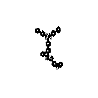 c1ccc(-c2ccc(-c3nc(-c4ccc(-c5ccccc5)cc4)nc(-c4ccc(-c5ccc6c(c5)c5ccccc5c5nc7cc(-c8ccc9oc%10ccccc%10c9c8)ccn7c65)cc4)n3)cc2)cc1